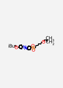 C=C(C)COCCCCCCS(=O)(=O)c1ccc(/N=N/c2ccc(OCC(C)CC)cc2)cc1